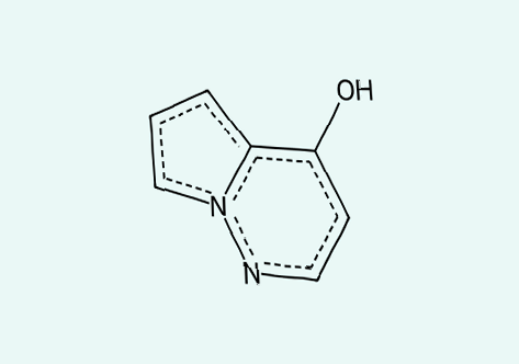 Oc1ccnn2cccc12